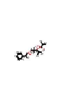 CC(=COCC(C)(C)C(OC(=O)C(C)C)C(C)C)c1ccccc1